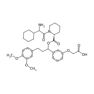 COc1ccc(CCC(OC(=O)[C@@H]2CCCCN2C(=O)C(N)C2CCCCC2)c2cccc(OCC(=O)O)c2)cc1OC